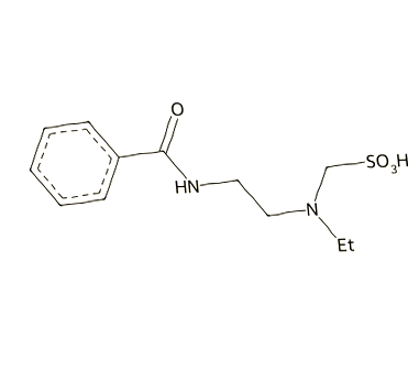 CCN(CCNC(=O)c1ccccc1)CS(=O)(=O)O